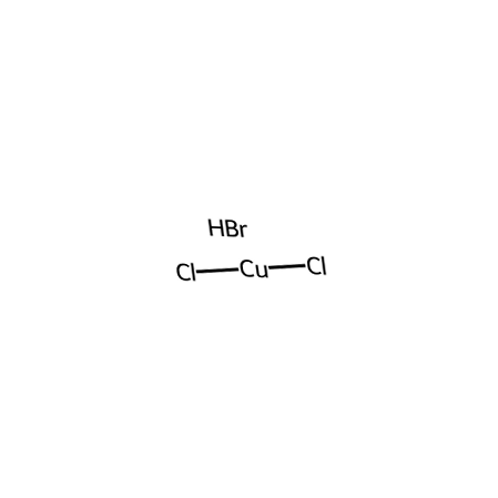 Br.[Cl][Cu][Cl]